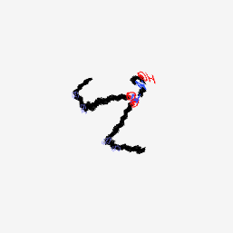 CCCCC/C=C\C/C=C\CCCCCCCCON(CCCN1CCCC(O)C1)OCCCCCCCC/C=C\C/C=C\CCCCC